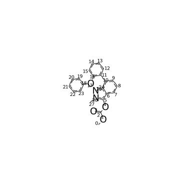 COC(=O)Oc1c2cccc(-c3ccccc3Oc3ccccc3)c2nn1C